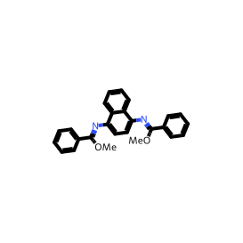 CO/C(=N\c1ccc(/N=C(\OC)c2ccccc2)c2ccccc12)c1ccccc1